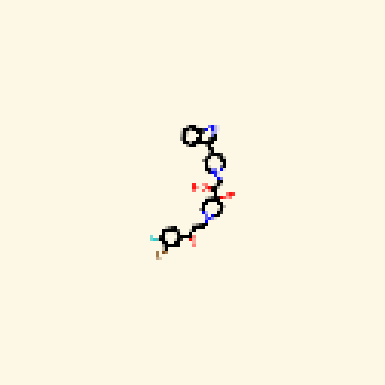 O=C(C=CN1CCC(O)(C(O)CN2CCC(c3c[nH]c4ccccc34)CC2)CC1)c1ccc(F)c(Br)c1